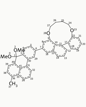 COC1(OC)c2ccc(-c3cc4c5c(cccc5c3)-c3ccccc3OCCCCO4)cc2-c2cccc3c(C)ccc1c23